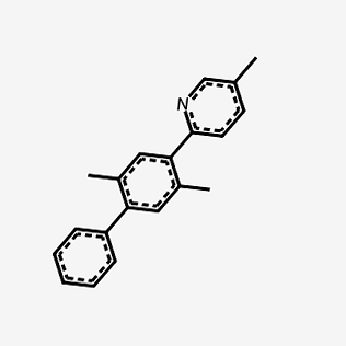 Cc1ccc(-c2cc(C)c(-c3ccccc3)cc2C)nc1